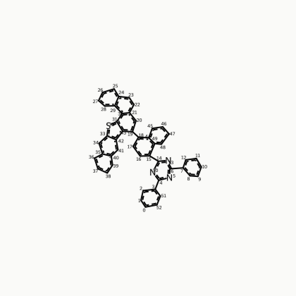 c1ccc(-c2nc(-c3ccccc3)nc(-c3ccc(-c4cc5ccc6ccccc6c5c5sc6cc7ccccc7cc6c45)c4ccccc34)n2)cc1